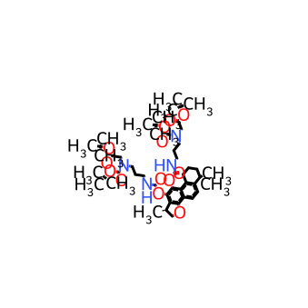 C[C@H]1COc2c1c(OC(=O)NCCCN(CC(=O)OC(C)(C)C)C(=O)OC(C)(C)C)c(OC(=O)NCCCN(CC(=O)OC(C)(C)C)C(=O)OC(C)(C)C)c1c3c(ccc21)C(C)(C)CCC3